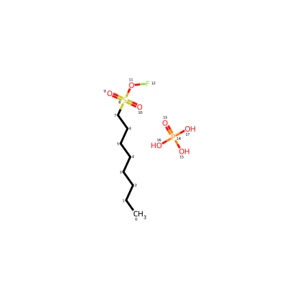 CCCCCCCCS(=O)(=O)OF.O=P(O)(O)O